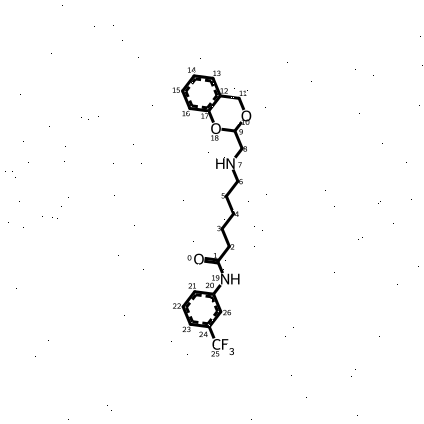 O=C(CCCCCNCC1OCc2ccccc2O1)Nc1cccc(C(F)(F)F)c1